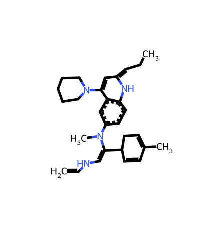 C=CN/C=C(/C1C=CC(C)=CC1)N(C)c1ccc2c(c1)C(N1CCCCC1)=C/C(=C/CC)N2